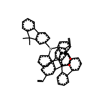 C=Cc1ccc2c(c1)C1(c3cc(C=C)ccc3-2)c2ccccc2-c2cccc(-c3cccc(N(c4ccc5c(c4)C(C)(C)c4ccccc4-5)c4ccccc4-c4ccccc4)c3)c21